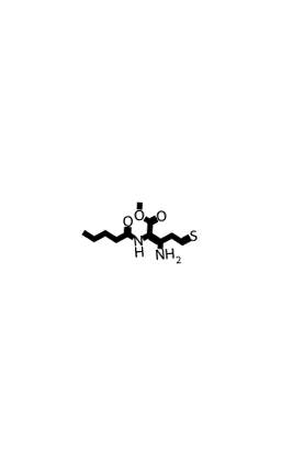 CCCCC(=O)N/C(C(=O)OC)=C(\N)CC=S